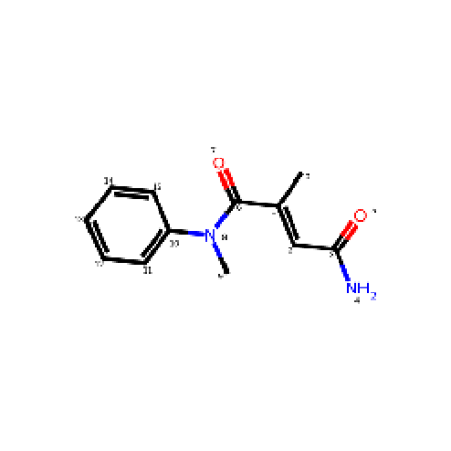 CC(=CC(N)=O)C(=O)N(C)c1ccccc1